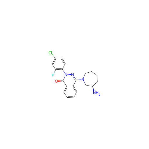 N[C@@H]1CCCCN(c2nn(-c3ccc(Cl)cc3F)c(=O)c3ccccc23)C1